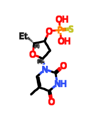 CC[C@H]1O[C@@H](n2cc(C)c(=O)[nH]c2=O)CC1OP(O)(O)=S